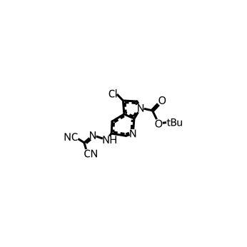 CC(C)(C)OC(=O)n1cc(Cl)c2cc(NN=C(C#N)C#N)cnc21